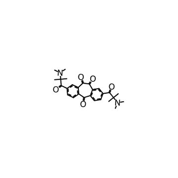 CN(C)C(C)(C)C(=O)c1ccc2c(c1)C(=O)C(=O)c1cc(C(=O)C(C)(C)N(C)C)ccc1C2=O